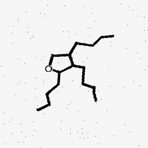 CCCCC1COC(CCCC)C1CCCC